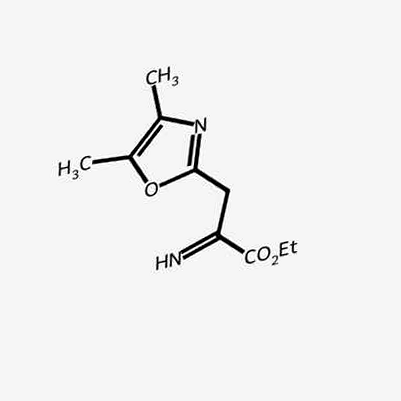 CCOC(=O)C(=N)Cc1nc(C)c(C)o1